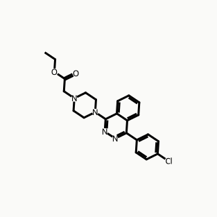 CCOC(=O)CN1CCN(c2nnc(-c3ccc(Cl)cc3)c3ccccc23)CC1